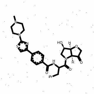 CC(C)CC(NC(=O)c1ccc(-c2csc(N3CCN(C)CC3)n2)cc1)C(=O)N1C[C@@H](O)[C@H]2OCC(=O)[C@H]21